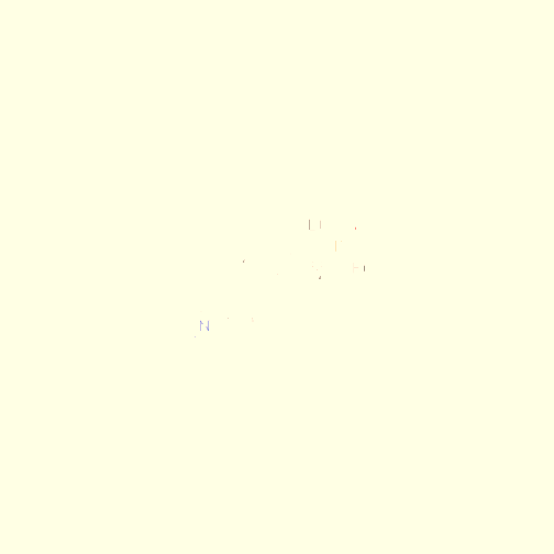 CCP(=O)(CC)OCc1ccc(N)cc1